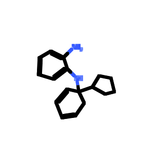 Nc1ccccc1NC1(C2CCCC2)C=CC=CC1